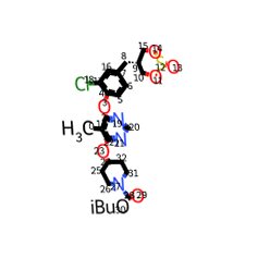 Cc1c(Oc2ccc(C[C@H]3CO[S@@](=O)OC3)cc2Cl)ncnc1OC1CCN(C(=O)OCC(C)C)CC1